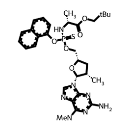 CNc1nc(N)nc2c1ncn2[C@@H]1O[C@H](CO[P@@](=S)(N[C@H](C)C(=O)OCC(C)(C)C)Oc2cccc3ccccc23)C[C@@H]1C